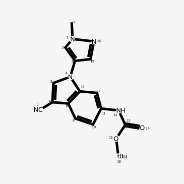 Cn1cc(-n2cc(C#N)c3ccc(NC(=O)OC(C)(C)C)cc32)cn1